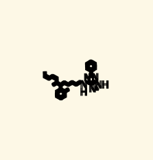 C/C=C\C=C/C(C)C(CCCCCNc1nc(-c2ccccc2)nc2[nH]cnc12)c1ccccc1C